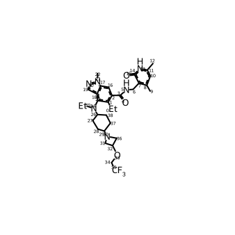 CCc1c(C(=O)NCc2c(C)cc(C)[nH]c2=O)cc2c(cnn2C)c1N(CC)C1CCC(N2CC(OCC(F)(F)F)C2)CC1